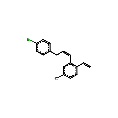 C=Cc1ccc(C#N)cc1/C=C\Cc1ccc(Br)cc1